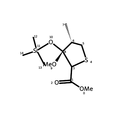 COC(=O)C1SC[C@@H](C)[C@@]1(OC)O[Si](C)(C)C